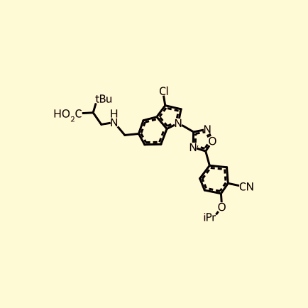 CC(C)Oc1ccc(-c2nc(-n3cc(Cl)c4cc(CNCC(C(=O)O)C(C)(C)C)ccc43)no2)cc1C#N